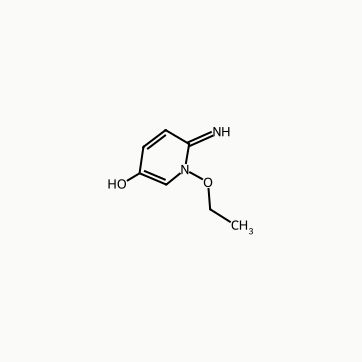 CCOn1cc(O)ccc1=N